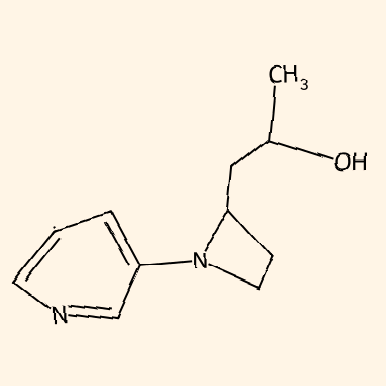 CC(O)CC1CCN1c1c[c]cnc1